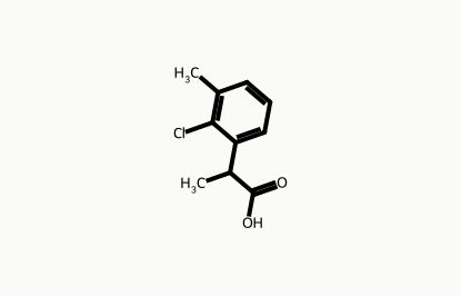 Cc1cccc(C(C)C(=O)O)c1Cl